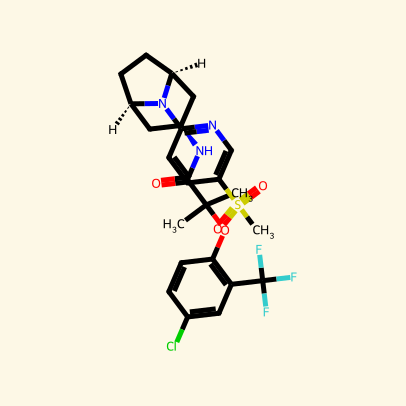 CC(C)(Oc1ccc(Cl)cc1C(F)(F)F)C(=O)N[C@H]1C[C@H]2CC[C@@H](C1)N2c1ccc(S(C)(=O)=O)cn1